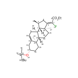 CCOC(=O)C(F)=C1C[C@H](C)[C@H]2[C@@H]3CC=C4C[C@@H](O[Si](C)(C)C(C)(C)C)CC[C@]4(C)[C@H]3CC[C@]12C